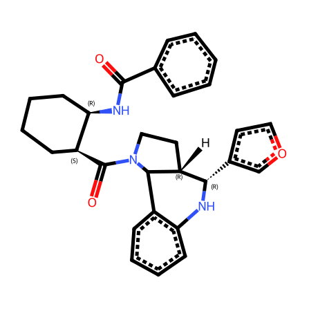 O=C(N[C@@H]1CCCC[C@@H]1C(=O)N1CC[C@H]2C1c1ccccc1N[C@H]2c1ccoc1)c1ccccc1